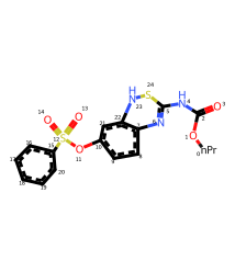 CCCOC(=O)NC1=Nc2ccc(OS(=O)(=O)c3ccccc3)cc2NS1